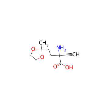 C#CC(N)(CCC1(C)OCCO1)C(=O)O